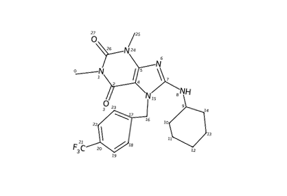 Cn1c(=O)c2c(nc(NC3CCCCC3)n2Cc2ccc(C(F)(F)F)cc2)n(C)c1=O